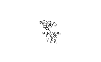 CCC(C)OC(=O)OC(C)C(C)OC(=O)[C@@H](N)Cc1ccc(OC(=O)OC(C)(C)CC)c(OC(=O)OC(C)(C)CC)c1